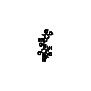 COc1cc2cc(C(=O)N3C[C@H]4CC45C3=CC(=O)C3=C5C(=O)C(C)(C)N3)[nH]c2c(C)c1OC